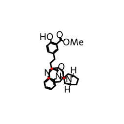 COC(=O)c1cc(CCc2nc3ccccc3n([C@H]3C[C@H]4CC[C@@H](C3)N4C3CCCCCCC3)c2=O)ccc1O